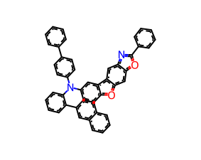 c1ccc(-c2ccc(N(c3ccc4oc5cc6oc(-c7ccccc7)nc6cc5c4c3)c3ccccc3-c3ccc4ccccc4c3)cc2)cc1